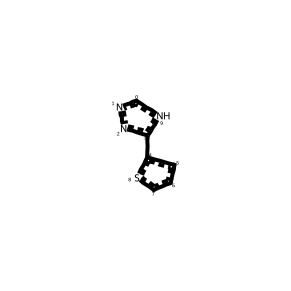 [c]1nnc(-c2cccs2)[nH]1